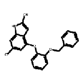 N#Cc1cc2c(Oc3ccccc3OCc3ccccc3)cc(Cl)cc2[nH]1